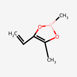 C=CC1=C(C)OB(C)O1